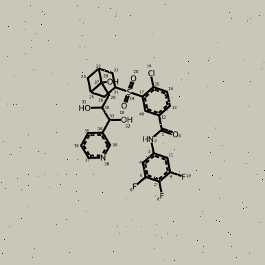 O=C(Nc1cc(F)c(F)c(F)c1)c1ccc(Cl)c(S(=O)(=O)C2CC3CC(C2)C3(O)CC(O)C(O)c2cccnc2)c1